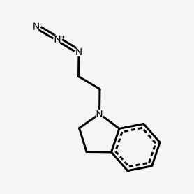 [N-]=[N+]=NCCN1CCc2ccccc21